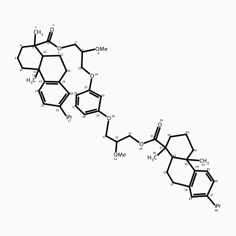 COC(COC(=O)C1(C)CCCC2(C)c3ccc(C(C)C)cc3CCC12)COc1cccc(OCC(COC(=O)C2(C)CCCC3(C)c4ccc(C(C)C)cc4CCC23)OC)c1